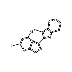 Clc1cc(Cl)n2c(-c3sc4ccccc4c3Cl)ncc2n1